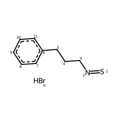 Br.S=NCCCc1ccccc1